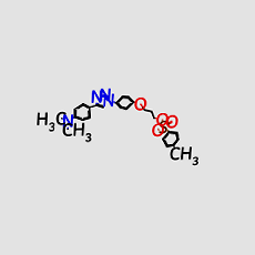 Cc1ccc(S(=O)(=O)OCCCOc2ccc(-n3cc(-c4ccc(N(C)C)cc4)nn3)cc2)cc1